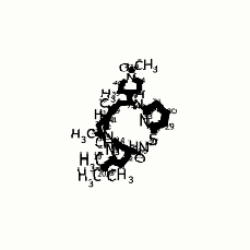 CC(=O)N1CCC(C2C[C@H](C)[C@@H]3CN(c4nc(C(C)(C)C)ccc4C(=O)NSc4cccc(n4)N2)C(C)(C)C3)CC1